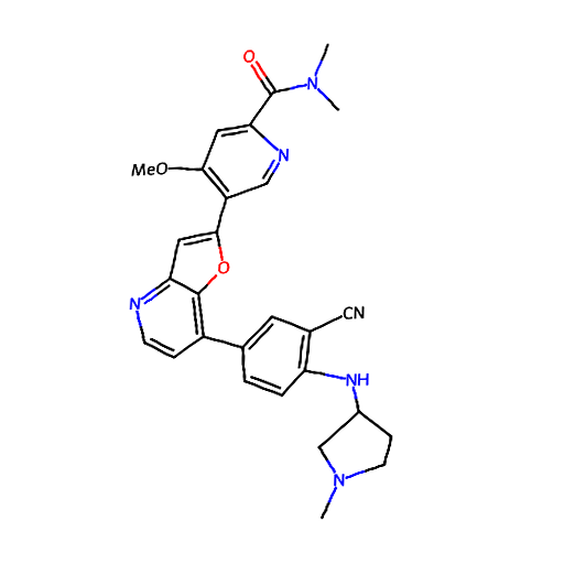 COc1cc(C(=O)N(C)C)ncc1-c1cc2nccc(-c3ccc(NC4CCN(C)C4)c(C#N)c3)c2o1